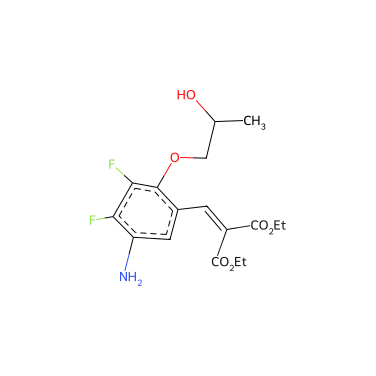 CCOC(=O)C(=Cc1cc(N)c(F)c(F)c1OCC(C)O)C(=O)OCC